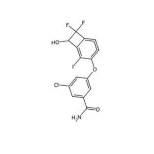 NC(=O)c1cc(Cl)cc(OC2=C=C=C3C(=C2I)C(O)C3(F)F)c1